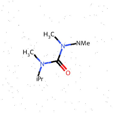 CNN(C)C(=O)N(C)C(C)C